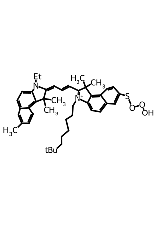 CCN1/C(=C/C=C/C2=[N+](CCCCCCC(C)(C)C)c3ccc4cc(SOOO)ccc4c3C2(C)C)C(C)(C)c2c1ccc1cc(C)ccc21